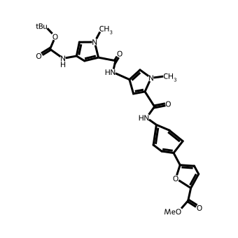 COC(=O)c1ccc(-c2ccc(NC(=O)c3cc(NC(=O)c4cc(NC(=O)OC(C)(C)C)cn4C)cn3C)cc2)o1